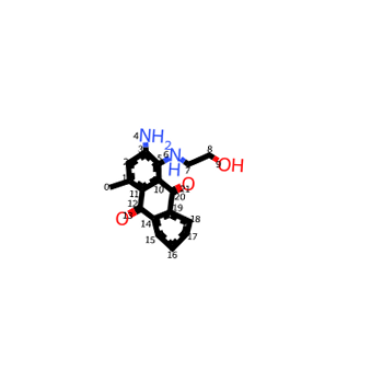 Cc1cc(N)c(NCCO)c2c1C(=O)c1ccccc1C2=O